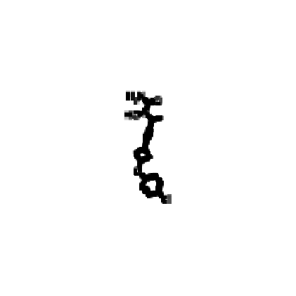 CC(C#CC1CC(Oc2ccc(Cl)cc2)C1)N(O)C(N)=O